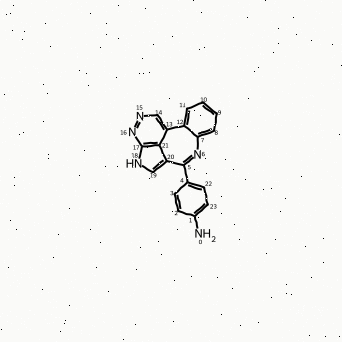 Nc1ccc(C2=Nc3ccccc3-c3cnnc4[nH]cc2c34)cc1